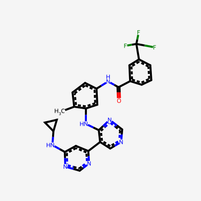 Cc1ccc(NC(=O)c2cccc(C(F)(F)F)c2)cc1Nc1ncncc1-c1cc(NC2CC2)ncn1